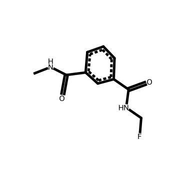 CNC(=O)c1cccc(C(=O)NCF)c1